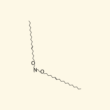 CCCCCCCCCCCC=CCCCCCOCCN(C)CCOCCCCCC=CCCCCCCCCCCC